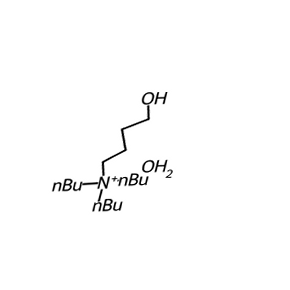 CCCC[N+](CCCC)(CCCC)CCCCO.O